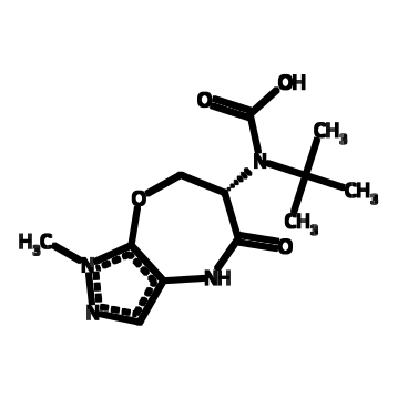 Cn1ncc2c1OC[C@H](N(C(=O)O)C(C)(C)C)C(=O)N2